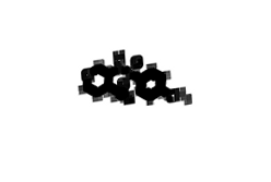 Cc1ccc(S(=O)(=O)NC2COCCC2C#N)cc1